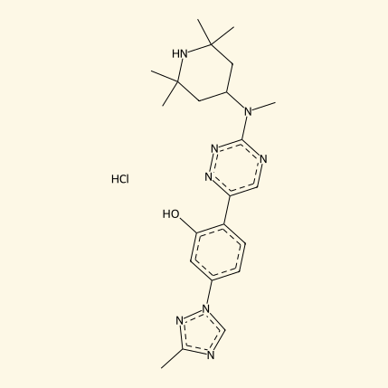 Cc1ncn(-c2ccc(-c3cnc(N(C)C4CC(C)(C)NC(C)(C)C4)nn3)c(O)c2)n1.Cl